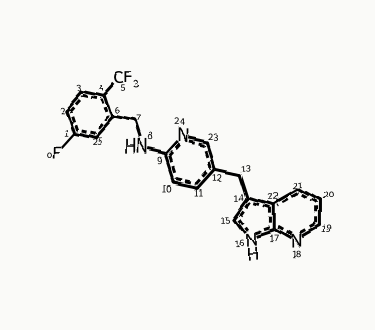 Fc1ccc(C(F)(F)F)c(CNc2ccc(Cc3c[nH]c4ncccc34)cn2)c1